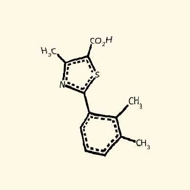 Cc1cccc(-c2nc(C)c(C(=O)O)s2)c1C